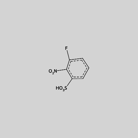 O=[N+]([O-])c1c(F)cccc1S(=O)(=O)O